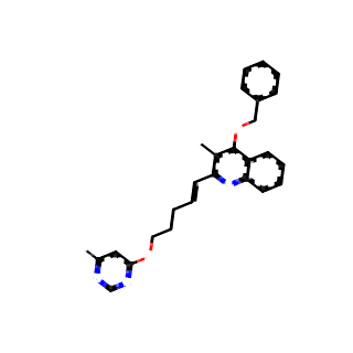 Cc1c(/C=C/CCCOc2cc(C(F)(F)F)ncn2)nc2ccccc2c1OCc1ccccc1